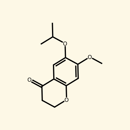 COc1cc2c(cc1OC(C)C)C(=O)CCO2